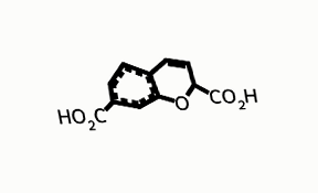 O=C(O)c1ccc2c(c1)OC(C(=O)O)C=C2